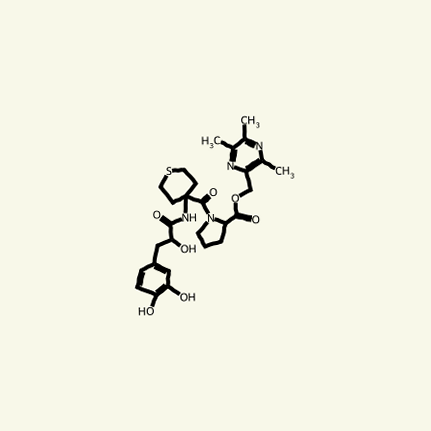 Cc1nc(C)c(COC(=O)C2CCCN2C(=O)C2(NC(=O)C(O)Cc3ccc(O)c(O)c3)CCSCC2)nc1C